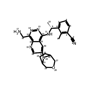 Cc1c(C#N)cccc1[C@@H](C)Nc1nnc(CN)c2ncc(N3C4CCC3COC4)cc12